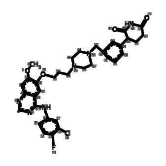 COc1cc2ncnc(Nc3ccc(F)c(Cl)c3)c2cc1OCCCN1CCN(Cc2cccc(C3CCC(=O)NC3=O)c2)CC1